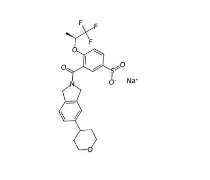 C[C@H](Oc1ccc(S(=O)[O-])cc1C(=O)N1Cc2ccc(C3CCOCC3)cc2C1)C(F)(F)F.[Na+]